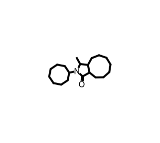 CC1C2CCCCCCCC2C(=O)N1C1CCCCCCC1